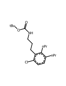 CCCc1ccc(Cl)c(CCCNC(=O)OC(C)(C)C)c1CCC